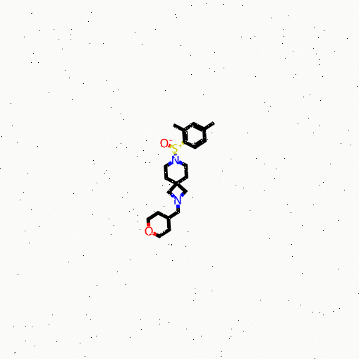 Cc1ccc([S+]([O-])N2CCC3(CC2)CN(CC2CCOCC2)C3)c(C)c1